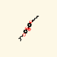 CCCCCC=COc1ccc(C(=O)Oc2ccc(OCCCC(C)CC)cc2)cc1